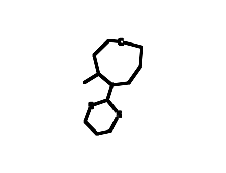 CC1CCCCCC[C]1C1SCCCS1